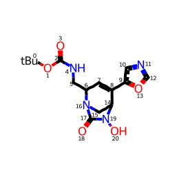 CC(C)(C)OC(=O)NCC1C=C(c2cnco2)C2CN1C(=O)N2O